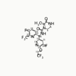 C[C@@H]1C(=O)NCCN1C(=O)N[C@H](c1cnc(OCC(F)(F)F)c(F)c1)c1ccc(F)c(C(F)(F)F)n1